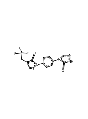 O=c1[nH]ncn1-c1ccc(-n2ncn(CC(F)(F)F)c2=O)cc1